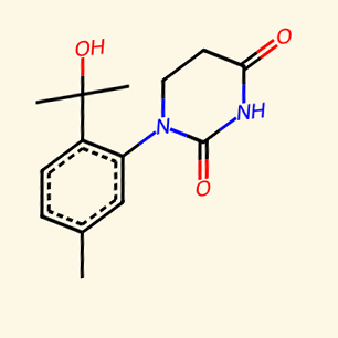 Cc1ccc(C(C)(C)O)c(N2CCC(=O)NC2=O)c1